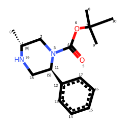 C[C@@H]1CN(C(=O)OC(C)(C)C)[C@@H](c2ccccc2)CN1